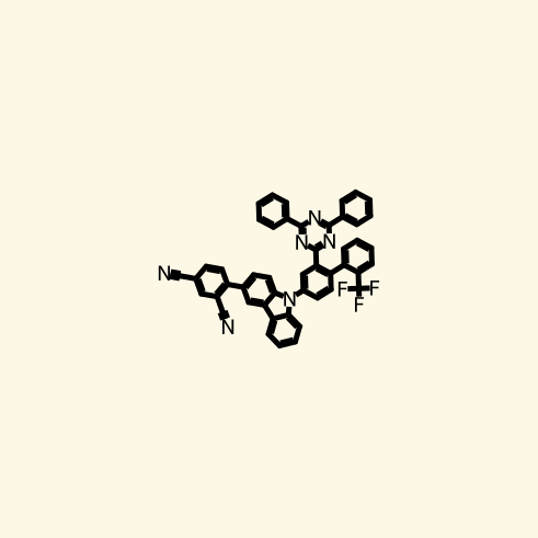 N#Cc1ccc(-c2ccc3c(c2)c2ccccc2n3-c2ccc(-c3ccccc3C(F)(F)F)c(-c3nc(-c4ccccc4)nc(-c4ccccc4)n3)c2)c(C#N)c1